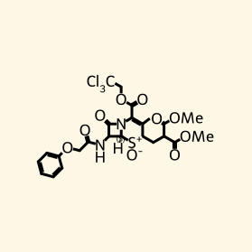 COC(=O)C(CC1C(C)=C(C(=O)OCC(Cl)(Cl)Cl)N2C(=O)C(NC(=O)COc3ccccc3)[C@@H]2[S+]1[O-])C(=O)OC